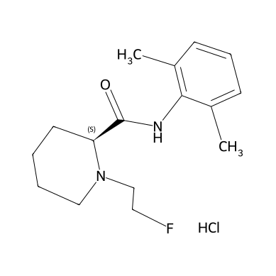 Cc1cccc(C)c1NC(=O)[C@@H]1CCCCN1CCF.Cl